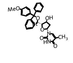 CCC(OC(c1ccccc1)(c1ccccc1)c1ccc(OC)cc1)[C@H]1O[C@@H](n2cc(C)c(=O)[nH]c2=O)C[C@@H]1O